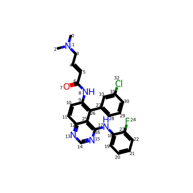 CN(C)C/C=C/C(=O)Nc1ccc2ncnc(Nc3ccccc3F)c2c1-c1cccc(Cl)c1